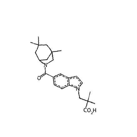 CC1(C)CC2CC(C)(CN2C(=O)c2ccc3c(ccn3CC(C)(C)C(=O)O)c2)C1